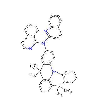 CC1(C)c2ccccc2N2c3ccc(N(c4ccc5ccccc5n4)c4nccc5ccccc45)cc3C(C)(C)c3cccc1c32